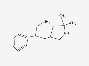 CC1(C)CC(CC(CN)c2ccccc2)CN1